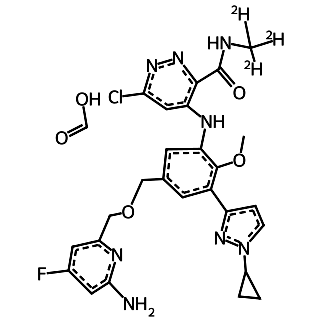 O=CO.[2H]C([2H])([2H])NC(=O)c1nnc(Cl)cc1Nc1cc(COCc2cc(F)cc(N)n2)cc(-c2ccn(C3CC3)n2)c1OC